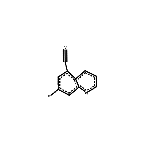 N#Cc1cc(F)cc2ncccc12